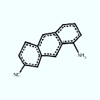 N#Cc1ccc2cc3cccc(N)c3cc2c1